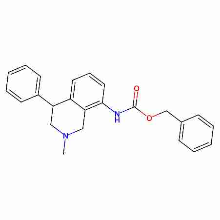 CN1Cc2c(NC(=O)OCc3ccccc3)cccc2C(c2ccccc2)C1